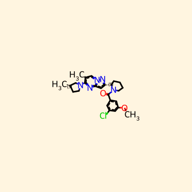 COc1cc(Cl)cc(C(=O)N2CCCC[C@H]2c2cc3nc(N4CC[C@H](C)C4)c(C)cn3n2)c1